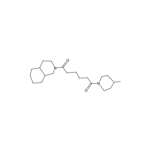 CC1CCN(C(=O)CCCCC(=O)N2CCC3CCCCC3C2)CC1